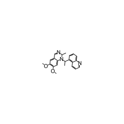 COc1cc2c(cc1OC)N(C(C)c1cccc3ncccc13)C(C)N=C2